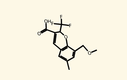 COCc1cc(C)cc2c1OC(C(F)(F)F)C(C(=O)O)=C2